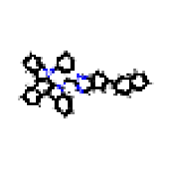 c1ccc(-n2c3ccccc3c3c4ccccc4c4c5ccccc5n(Cc5ncc6cc(-c7ccc8ccccc8c7)ccc6n5)c4c32)cc1